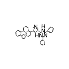 c1ccc(C2=NC(c3ccccc3)NC(c3cncc(-c4ccc5c6c(cccc46)-c4ccccc4O5)c3)N2)cc1